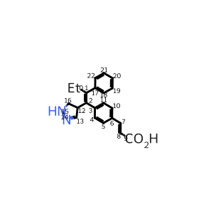 CC/C(=C(/c1ccc(/C=C/C(=O)O)cc1)C1C=NNC1)c1ccccc1